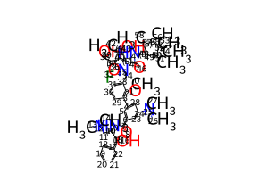 COc1c(-c2cc(C(=O)N[C@H](CN(C)C)[C@H](O)c3ccccc3)cc(N(C)C)c2)ccc(F)c1CN1O[C@@H](CO)[C@@H]([C@H](C)O)[C@H]1C(=O)N[C@H]1C[C@@H](C)C(C)(C)[C@@H](C)[C@@H]1C